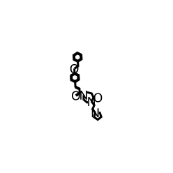 O=C(C=Cc1ccc(OCc2ccccc2)cc1)N1CCC(=O)N(CCN2CCCC2)CC1